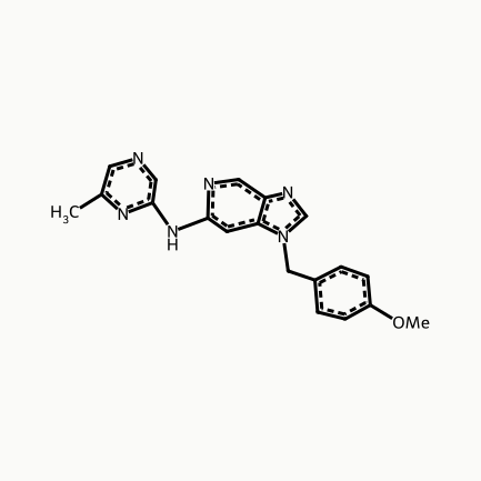 COc1ccc(Cn2cnc3cnc(Nc4cncc(C)n4)cc32)cc1